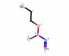 N#CCCOP(Cl)N=P